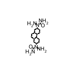 NC(=O)N(N)c1ccc2c(ccc3cc(N(N)C(N)=O)ccc32)c1